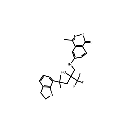 Cc1noc(=O)c2ccc(NCC(O)(CC(C)(C)c3cccc4c3OCC4)C(F)(F)F)cc12